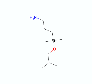 CC(C)CO[Si](C)(C)CCCN